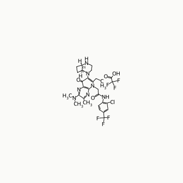 CCc1c(N2CCN[C@H]3CC[C@@H]32)c(=O)c2nc(N(C)C)c(C)nc2n1CC(=O)Nc1ccc(C(F)(F)F)cc1Cl.O=C(O)C(F)(F)F